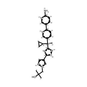 CC(C)(O)Cn1cc(-c2nc([C@@](C)(c3ccc(-c4ccc(N)nc4)nc3)C3CC3)no2)cn1